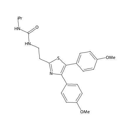 COc1ccc(-c2nc(CCNC(=O)NC(C)C)sc2-c2ccc(OC)cc2)cc1